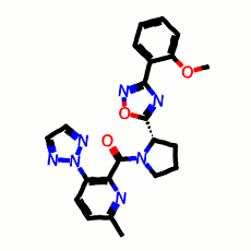 COc1ccccc1-c1noc([C@@H]2CCCN2C(=O)c2nc(C)ccc2-n2nccn2)n1